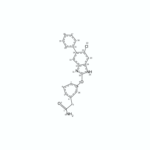 NC(=O)Cc1cccc(Oc2nc3cc(-c4ccccc4)c(Cl)cc3[nH]2)c1